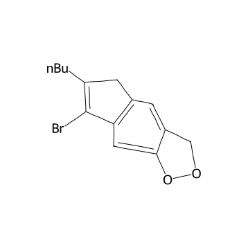 CCCCC1=C(Br)c2cc3c(cc2C1)COO3